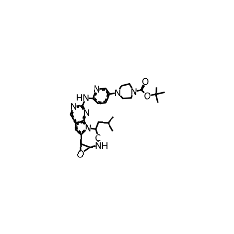 CC(C)CC1CNC2OC2c2cc3cnc(Nc4ccc(N5CCN(C(=O)OC(C)(C)C)CC5)cn4)nc3n21